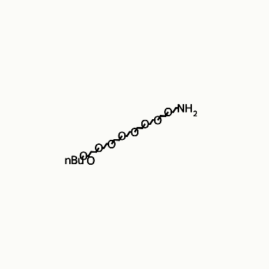 CCCCOC(=O)CCOCCOCCOCCOCCOCCOCCOCCN